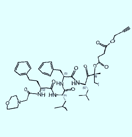 C#CCOC(=O)CCC(=O)O[C@](C)(CI)C(=O)[C@H](CC(C)C)NC(=O)[C@H](Cc1ccccc1)NC(=O)[C@H](CC(C)C)NC(=O)[C@H](CCc1ccccc1)NC(=O)CN1CCOCC1